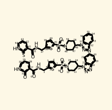 O=C(NCc1ccc(S(=O)(=O)N2CCC(n3nnc4ccccc43)CC2)s1)c1ccc[nH]c1=O.O=C(NCc1ccc(S(=O)(=O)N2CCC(n3nnc4ccccc43)CC2)s1)c1ccc[nH]c1=S